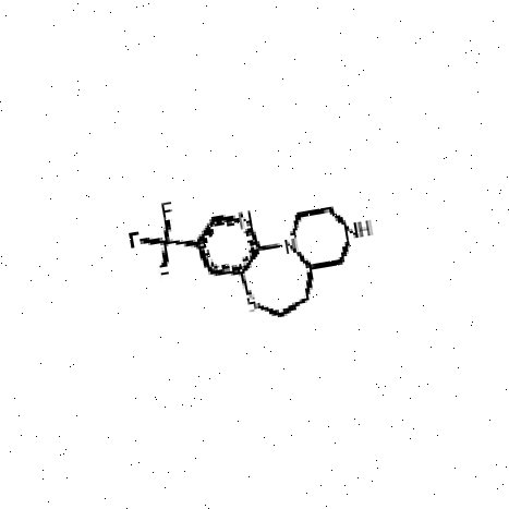 FC(F)(F)c1cnc2c(c1)SCCC1CNCCN21